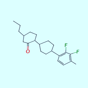 CCCC1CCC(C2CCC(c3ccc(C)c(F)c3F)CC2)C(=O)C1